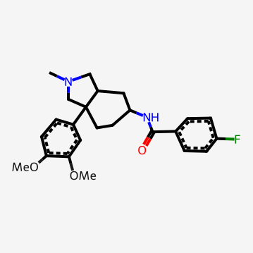 COc1ccc(C23CCC(NC(=O)c4ccc(F)cc4)CC2CN(C)C3)cc1OC